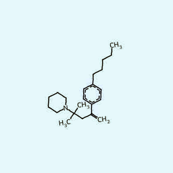 C=C(CC(C)(C)N1CCCCC1)c1ccc(CCCCC)cc1